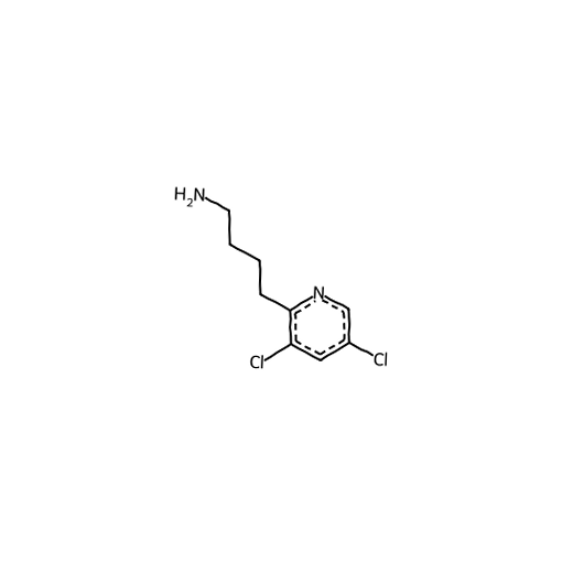 NCCCCc1ncc(Cl)cc1Cl